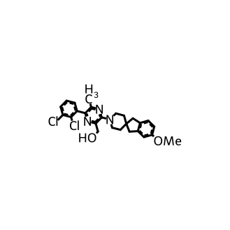 COc1ccc2c(c1)CC1(CCN(c3nc(C)c(-c4cccc(Cl)c4Cl)nc3CO)CC1)C2